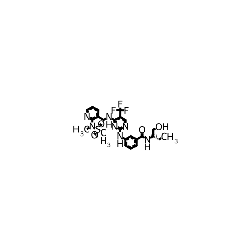 CC[C@@H](CO)NC(=O)c1cccc(Nc2ncc(C(F)(F)F)c(NCc3cccnc3N(C)S(C)(=O)=O)n2)c1